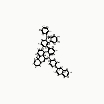 CC12C=CC=CC1C=C(N(c1ccc(-c3ccc4ccccc4c3)cc1)c1cccc(-c3cccc4c3c3ccccc3n4-c3ccccc3)c1)c1ccccc12